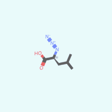 CC(C)C[C@H](N=[N+]=[N-])C(=O)O